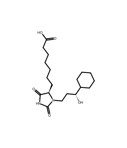 O=C(O)CCCCCC[C@@H]1C(=O)NC(=O)N1CC[C@@H](O)C1CCCCC1